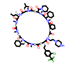 CC[C@H](C)[C@@H]1NC(=O)[C@H](CC(C)C)N(C)C(=O)CC(C(=O)N2CCCCC2)N(C)C(=O)C(C2CCCCC2)N(C)C(=O)C2(CCCC2)CC(=O)CN(CCN2CCNCC2)C(=O)[C@H](CCc2ccc(C(F)(F)F)c(Cl)c2)CC(=O)CN(C)C(=O)[C@H](CC2CCCCC2)N(C)C(=O)CN(C)C(=O)CN(C)C1=O